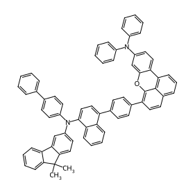 CC1(C)c2ccccc2-c2cc(N(c3ccc(-c4ccccc4)cc3)c3ccc(-c4ccc(-c5ccc6cccc7c6c5Oc5cc(N(c6ccccc6)c6ccccc6)ccc5-7)cc4)c4ccccc34)ccc21